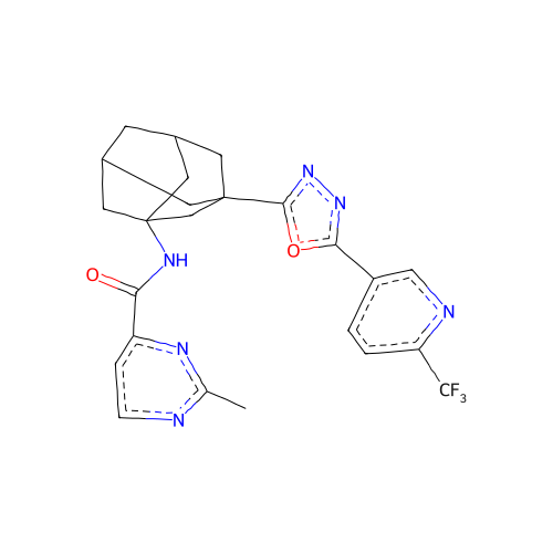 Cc1nccc(C(=O)NC23CC4CC(C2)CC(c2nnc(-c5ccc(C(F)(F)F)nc5)o2)(C4)C3)n1